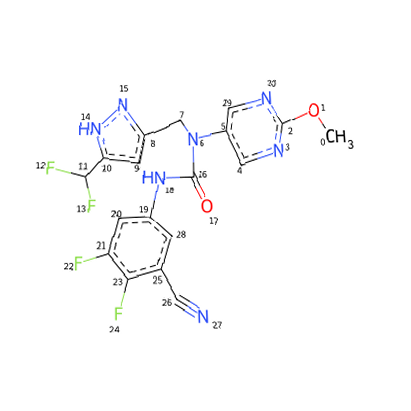 COc1ncc(N(Cc2cc(C(F)F)[nH]n2)C(=O)Nc2cc(F)c(F)c(C#N)c2)cn1